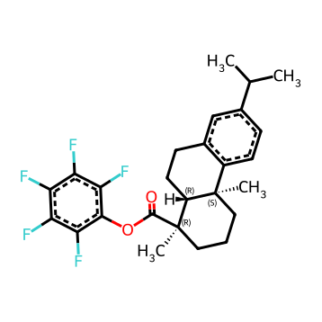 CC(C)c1ccc2c(c1)CC[C@H]1[C@](C)(C(=O)Oc3c(F)c(F)c(F)c(F)c3F)CCC[C@]21C